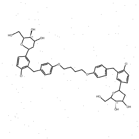 OCC1OC(c2ccc(Cl)c(Cc3ccc(OCCCCOc4ccc(Cc5cc(C6CC(O)[C@H](O)C(CO)O6)ccc5Cl)cc4)cc3)c2)CC(O)[C@@H]1O